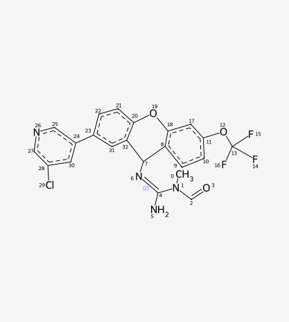 CN(C=O)/C(N)=N\C1c2ccc(OC(F)(F)F)cc2Oc2ccc(-c3cncc(Cl)c3)cc21